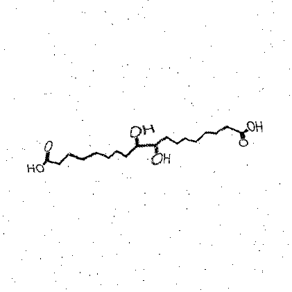 O=C(O)CCCCCCCC(O)C(O)CCCCCCCC(=O)O